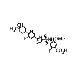 COc1cc(C(=O)O)c(F)cc1NS(=O)(=O)c1csc(-c2cnc(C3CCC(C)(C)CC3)c(F)c2)n1